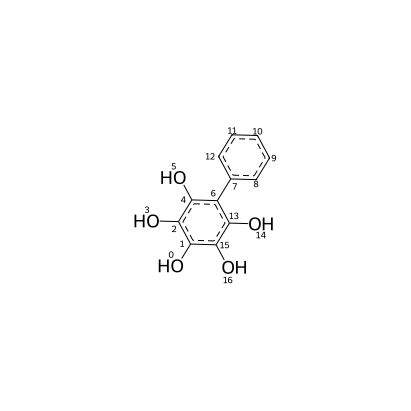 Oc1c(O)c(O)c(-c2ccccc2)c(O)c1O